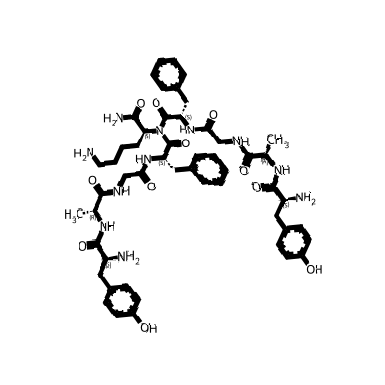 C[C@@H](NC(=O)[C@@H](N)Cc1ccc(O)cc1)C(=O)NCC(=O)N[C@@H](Cc1ccccc1)C(=O)N(C(=O)[C@H](Cc1ccccc1)NC(=O)CNC(=O)[C@@H](C)NC(=O)[C@@H](N)Cc1ccc(O)cc1)[C@@H](CCCCN)C(N)=O